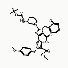 COC(=O)c1c2c(nn1Cc1ccc(OC)cc1)c1nc(N3CCC[C@@H](NC(=O)OC(C)(C)C)C3)n(Cc3ccccc3Cl)c1c(=O)n2C